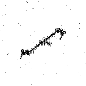 C=CCCCn1nc(C(=O)N[C@H](C(=O)NCCOCCOCCOCCNC(=O)CC[C@H](NC(=O)CN=[N+]=[N-])C(=O)NCCOCCOCCOCCNC(=O)[C@@H](NC(=O)c2nn(CCCC=C)c3ccccc23)C(C)(C)C)C(C)(C)C)c2ccccc21